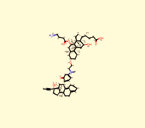 CC#C[C@]1(O)CC[C@H]2[C@@H]3CCC4=CCCCC4=C3[C@@H](C3=CC=C(N(C)CCO[C@H]4CC[C@@]5(C)[C@@H](C4)C[C@@H](OC(=O)CCCN)[C@@H]4[C@@H]5C[C@H](O)[C@]5(C)[C@@H]([C@H](C)CCC(=O)O)CC[C@@H]45)CC3=O)C[C@@]21C